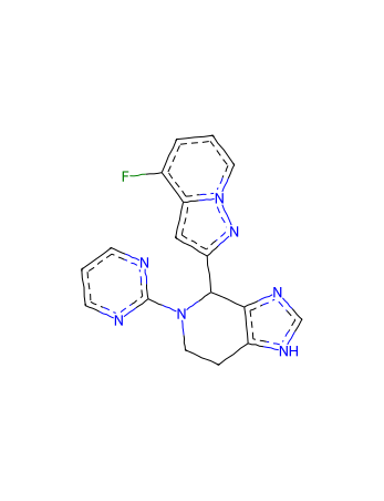 Fc1cccn2nc(C3c4nc[nH]c4CCN3c3ncccn3)cc12